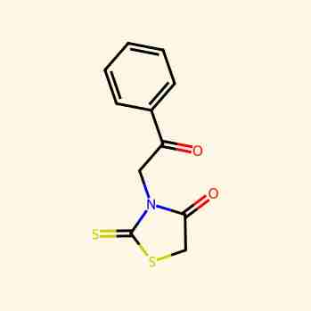 O=C(CN1C(=O)CSC1=S)c1ccccc1